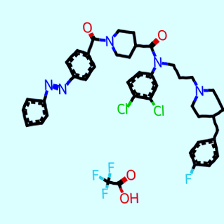 O=C(O)C(F)(F)F.O=C(c1ccc(/N=N/c2ccccc2)cc1)N1CCC(C(=O)N(CCCN2CCC(Cc3ccc(F)cc3)CC2)c2ccc(Cl)c(Cl)c2)CC1